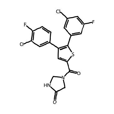 O=C1CN(C(=O)c2cc(-c3ccc(F)c(Cl)c3)c(-c3cc(F)cc(Cl)c3)s2)CN1